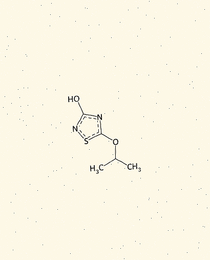 CC(C)Oc1nc(O)ns1